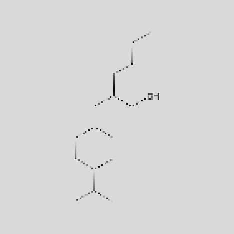 CCCCC(CO)CC1CCC(C(C)C)CC1